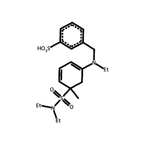 CCN(Cc1cccc(S(=O)(=O)O)c1)C1=CC=CC(C)(S(=O)(=O)N(CC)CC)C1